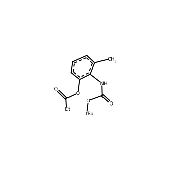 CCC(=O)Oc1cccc(C)c1NC(=O)OC(C)(C)C